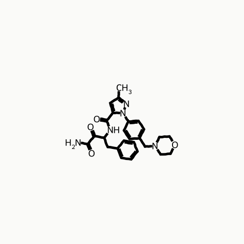 Cc1cc(C(=O)NC(Cc2ccccc2)C(=O)C(N)=O)n(-c2ccc(CN3CCOCC3)cc2)n1